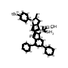 CC1=Cc2c(-c3ccccc3)cc(-c3ccccc3)cc2[CH]1[Zr]([CH3])([CH3])(=[SiH2])[C]1=C(C(C)C)C=C2C1=CC(C)N2c1ccc(C(C)(C)C)cc1.Cl.Cl